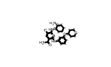 NC(=O)c1cc(F)c(N[C@@H]2CCCC[C@@H]2N)nc1Nc1cccc(OC2CCOCC2)c1